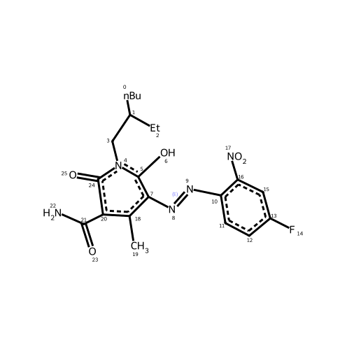 CCCCC(CC)Cn1c(O)c(/N=N/c2ccc(F)cc2[N+](=O)[O-])c(C)c(C(N)=O)c1=O